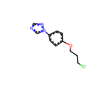 ClCCCOc1ccc(-n2cncn2)cc1